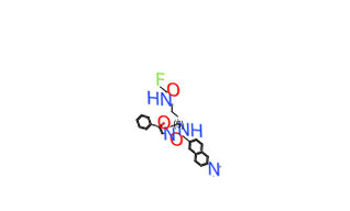 CN(C)c1ccc2cc(C(=O)N[C@@H](CCCNC(=O)CF)c3ncc(-c4ccccc4)o3)ccc2c1